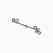 O=S(=O)(c1cccc(CCCCOCCCCCCNCc2ccccc2)c1)C1CCCC1